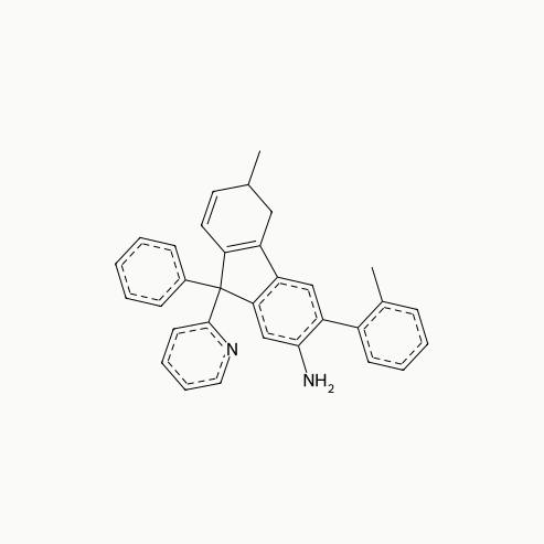 Cc1ccccc1-c1cc2c(cc1N)C(c1ccccc1)(c1ccccn1)C1=C2CC(C)C=C1